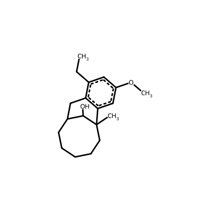 CCc1cc(OC)cc2c1CC1CCCCCC2(C)C1O